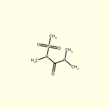 CN(C)C(=O)N(C)S(C)(=O)=O